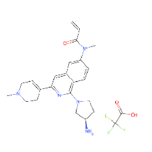 C=CC(=O)N(C)c1ccc2c(N3CC[C@@H](N)C3)nc(C3=CCN(C)CC3)cc2c1.O=C(O)C(F)(F)F